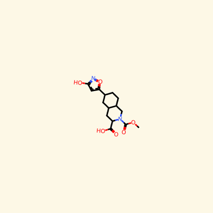 COC(=O)N1CC2CCC(c3cc(O)no3)CC2CC1C(=O)O